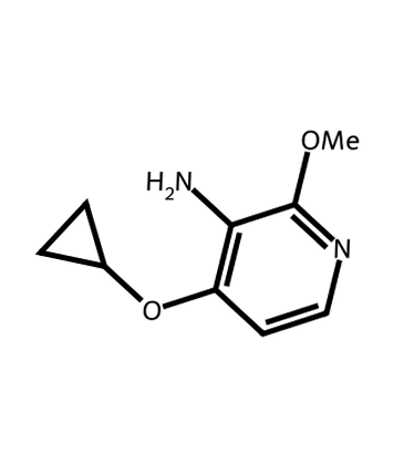 COc1nccc(OC2CC2)c1N